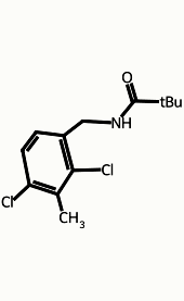 Cc1c(Cl)ccc(CNC(=O)C(C)(C)C)c1Cl